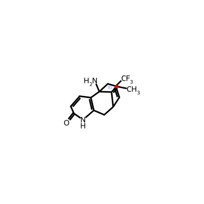 C/C=C1\C2C=C(C(F)(F)F)CC1(N)c1ccc(=O)[nH]c1C2